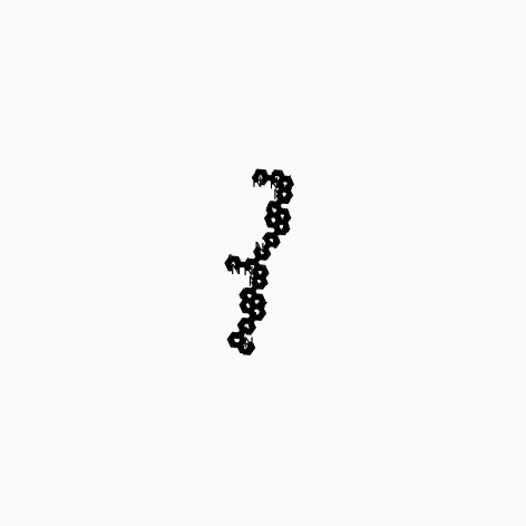 c1ccc(-c2cc(-c3ccc(-c4ccc(-c5ccc6ccc7c(-c8ccc9ccc%10ccc(-c%11cccnc%11)nc%10c9n8)ccc8ccc5c6c87)cc4)nc3)c3ccc4ccc(-c5ccc6ccc7c(-c8ccc(-c9cccc%10cccnc9%10)cc8)ccc8ccc5c6c87)nc4c3n2)nc1